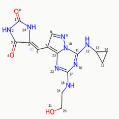 O=C1NC(=O)/C(=C/c2cnn3c(NC4CC4)nc(NCCO)nc23)N1